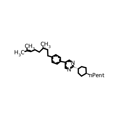 CCCCC[C@H]1CC[C@H](c2ncc(-c3ccc(CC[C@@H](C)CCC=C(C)C)cc3)cn2)CC1